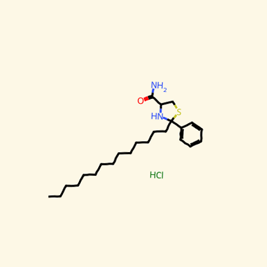 CCCCCCCCCCCCCCC1(c2ccccc2)NC(C(N)=O)CS1.Cl